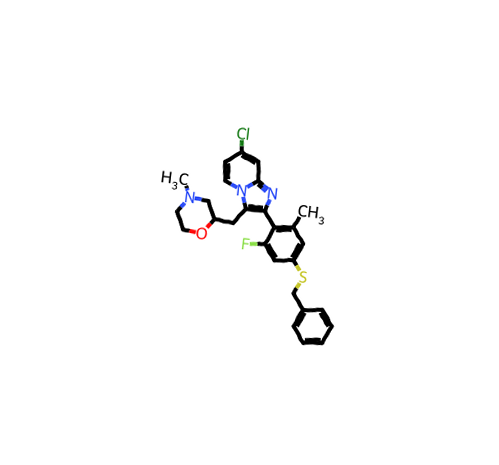 Cc1cc(SCc2ccccc2)cc(F)c1-c1nc2cc(Cl)ccn2c1CC1CN(C)CCO1